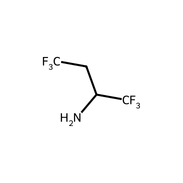 NC(CC(F)(F)F)C(F)(F)F